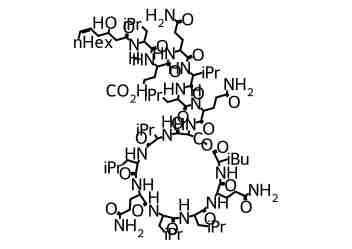 CCCCCC/C=C\CC(O)CC(=O)NC(CC(C)C)C(=O)NC(CCC(=O)O)C(=O)NC(CCC(N)=O)C(=O)NC(C(=O)NC(CC(C)C)C(=O)NC(CCC(N)=O)C(=O)NC1COC(=O)C(C(C)CC)NC(=O)C(CCC(N)=O)NC(=O)C(CC(C)C)NC(=O)C(CC(C)C)NC(=O)C(CCC(N)=O)NC(=O)C(CC(C)C)NC(=O)C(C(C)C)NC1=O)C(C)C